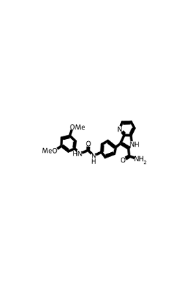 COc1cc(NC(=O)Nc2ccc(-c3c(C(N)=O)[nH]c4cccnc34)cc2)cc(OC)c1